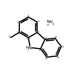 Cc1cccc2c1[nH]c1ccccc12.N